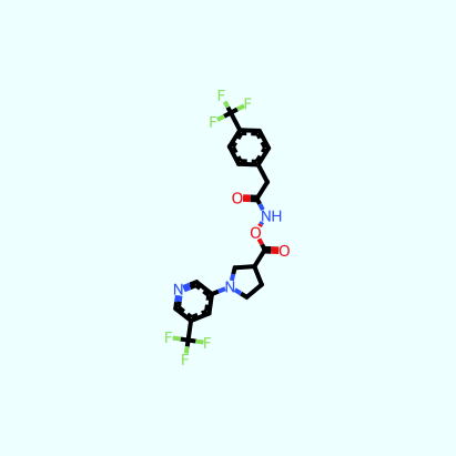 O=C(Cc1ccc(C(F)(F)F)cc1)NOC(=O)C1CCN(c2cncc(C(F)(F)F)c2)C1